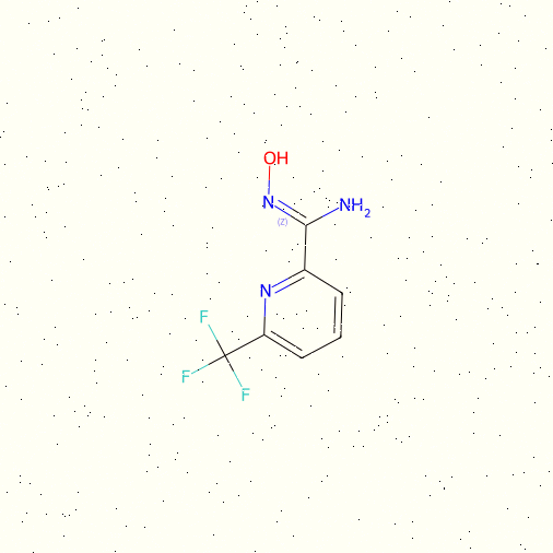 N/C(=N\O)c1cccc(C(F)(F)F)n1